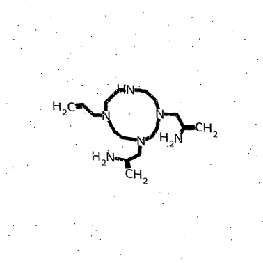 C=CCN1CCNCCN(CC(=C)N)CCN(CC(=C)N)CC1